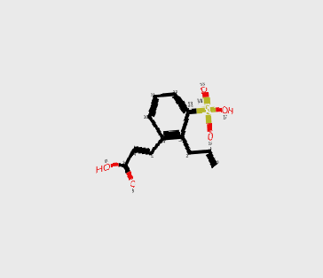 C=CCc1c(/C=C/C(=O)O)cccc1S(=O)(=O)O